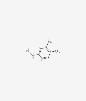 CC(C)Nc1cc(C(C)(C)C)c(C(F)(F)F)cn1